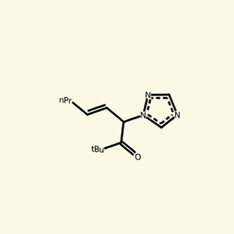 CCCC=CC(C(=O)C(C)(C)C)n1cncn1